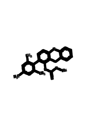 Cc1cc(C)c(-c2ccc3c(c2OC(=O)OC(C)(C)C)Cc2ccccc2O3)c(C)c1